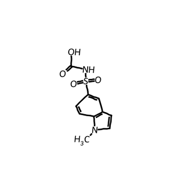 Cn1ccc2cc(S(=O)(=O)NC(=O)O)ccc21